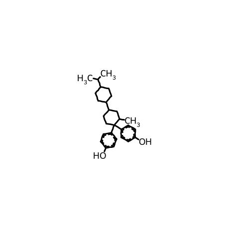 CC(C)C1CCC(C2CCC(c3ccc(O)cc3)(c3ccc(O)cc3)C(C)C2)CC1